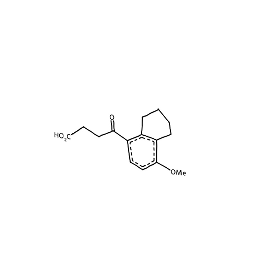 COc1ccc(C(=O)CCC(=O)O)c2c1CCCC2